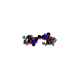 CC(C)(C)OC(=O)N1CCC[C@H]1c1nc2cc(-c3ccc(-c4cnc5c(c4)nc([C@@H]4CCCN4C(=O)OC(C)(C)C)n5COCCS(C)(C)C)o3)cnc2n1COCCS(C)(C)C